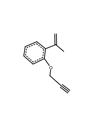 C#CCOc1ccccc1C(=C)C